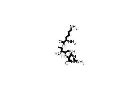 CC(OC(=O)C(N)CCCCN)C(O)C1CNc2nc(N)[nH]c(=O)c2N1